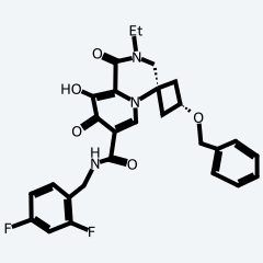 CCN1C[C@]2(C[C@@H](OCc3ccccc3)C2)n2cc(C(=O)NCc3ccc(F)cc3F)c(=O)c(O)c2C1=O